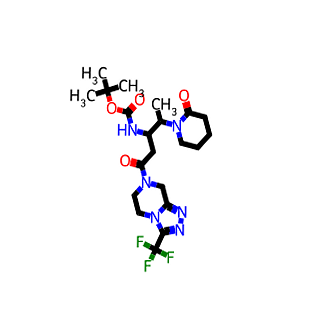 CC(C(CC(=O)N1CCn2c(nnc2C(F)(F)F)C1)NC(=O)OC(C)(C)C)N1CCCCC1=O